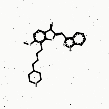 COc1ccc2c(c1CCCCC1CCNCC1)O/C(=C\c1n[nH]c3ccccc13)C2=O